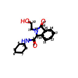 O=C(NC1CCCCC1)C1c2ccccc2C(=O)N1CCO